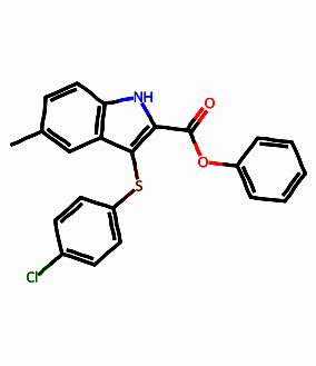 Cc1ccc2[nH]c(C(=O)Oc3ccccc3)c(Sc3ccc(Cl)cc3)c2c1